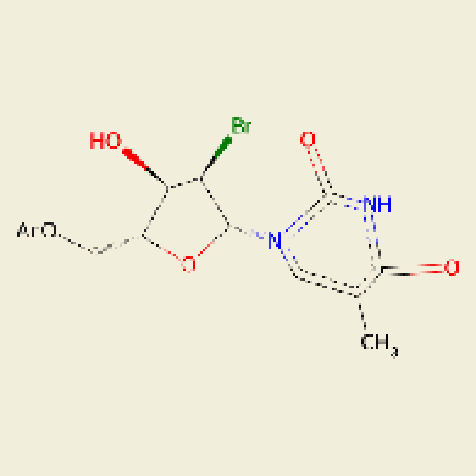 CC(=O)OC[C@H]1O[C@@H](n2cc(C)c(=O)[nH]c2=O)[C@H](Br)[C@@H]1O